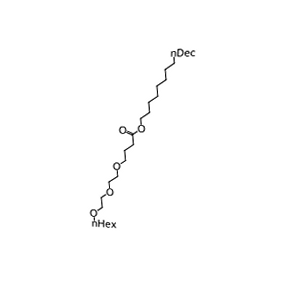 CCCCCCCCCCCCCCCCCCOC(=O)CCCOCCOCCOCCCCCC